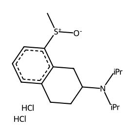 CC(C)N(C(C)C)C1CCc2cccc([S+](C)[O-])c2C1.Cl.Cl